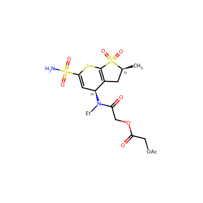 CCN(C(=O)COC(=O)COC(C)=O)[C@H]1C=C(S(N)(=O)=O)SC2=C1C[C@H](C)S2(=O)=O